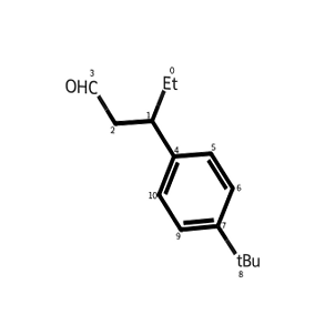 CCC(CC=O)c1ccc(C(C)(C)C)cc1